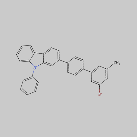 Cc1cc(Br)cc(-c2ccc(-c3ccc4c5ccccc5n(-c5ccccc5)c4c3)cc2)c1